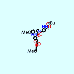 COCCCOC(=O)c1cc2cc(NC(=O)[C@@H]3[C@H](C4CCC(OC)CC4)CCN3C(=O)C3CCC([C@@H](CF)NC(=O)OC(C)(C)C)CC3)ccc2o1